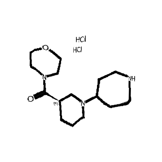 Cl.Cl.O=C([C@@H]1CCCN(C2CCNCC2)C1)N1CCOCC1